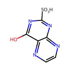 O=S(=O)(O)c1nc(O)c2nccnc2n1